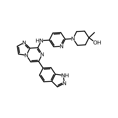 CC1(O)CCN(c2ccc(Nc3nc(-c4ccc5cn[nH]c5c4)cn4ccnc34)cn2)CC1